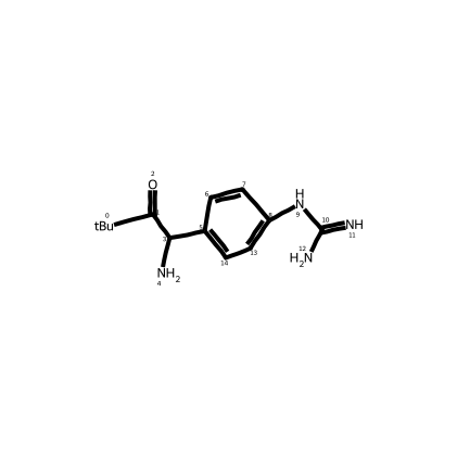 CC(C)(C)C(=O)C(N)c1ccc(NC(=N)N)cc1